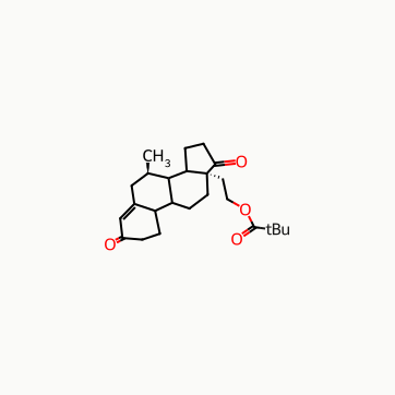 C[C@@H]1CC2=CC(=O)CCC2C2CC[C@]3(CCOC(=O)C(C)(C)C)C(=O)CCC3C21